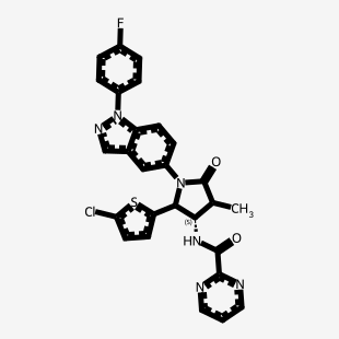 CC1C(=O)N(c2ccc3c(cnn3-c3ccc(F)cc3)c2)C(c2ccc(Cl)s2)[C@H]1NC(=O)c1ncccn1